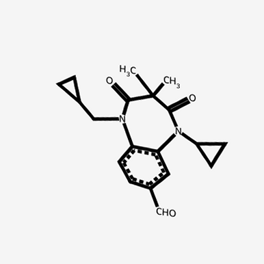 CC1(C)C(=O)N(CC2CC2)c2ccc(C=O)cc2N(C2CC2)C1=O